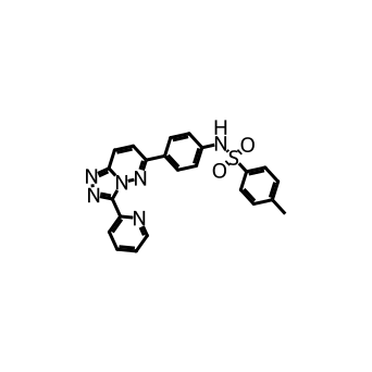 Cc1ccc(S(=O)(=O)Nc2ccc(-c3ccc4nnc(-c5ccccn5)n4n3)cc2)cc1